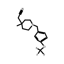 CC1(CC#N)CCN(Cc2ccc(OC(F)(F)F)cc2)CC1